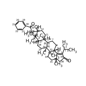 CC(C)C1=C2[C@H]3CC[C@@H]4[C@@]5(C)CC[C@@](O)(NC(=O)c6ccccc6)C(C)(C)[C@@H]5CC[C@@]4(C)[C@]3(C)CC[C@@]2(C)CC1=O